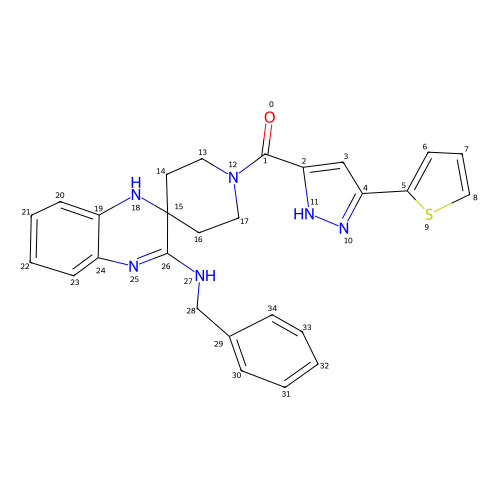 O=C(c1cc(-c2cccs2)n[nH]1)N1CCC2(CC1)Nc1ccccc1N=C2NCc1ccccc1